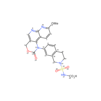 COc1ccc2c3c(cnc2n1)COC(=O)N3c1ccc2c(c1)CN(S(=O)(=O)NC(=O)O)CC2